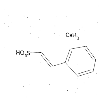 O=S(=O)(O)C=Cc1ccccc1.[CaH2]